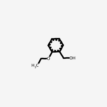 CCOc1ccccc1CO